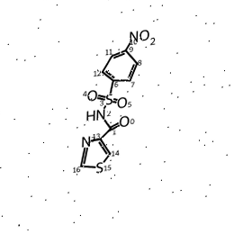 O=C(NS(=O)(=O)c1ccc([N+](=O)[O-])cc1)c1cscn1